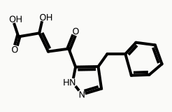 O=C(O)C(O)=CC(=O)c1[nH]ncc1Cc1ccccc1